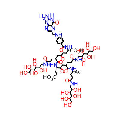 CC(=O)[C@H](CCC(=O)NC[C@H](O)[C@@H](O)[C@H](O)[C@H](O)CO)NC(=O)[C@H](CCC(=O)NC[C@H](O)[C@@H](O)[C@H](O)[C@H](O)CO)CC(=O)[C@H](CCC(=O)O)NC(=O)[C@H](CCC(=O)NC[C@H](O)[C@@H](O)[C@H](O)[C@H](O)CO)CC(=O)CC[C@H](NC(=O)c1ccc(NCc2cnc3nc(N)[nH]c(=O)c3n2)cc1)C(=O)O